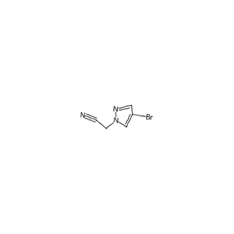 N#CCn1cc(Br)cn1